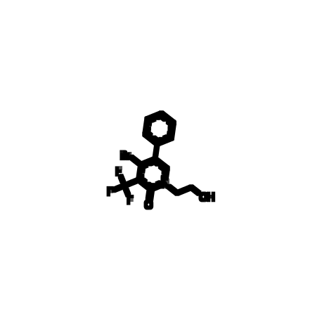 O=c1c(C(F)(F)F)c(Br)c(-c2ccccc2)cn1CCO